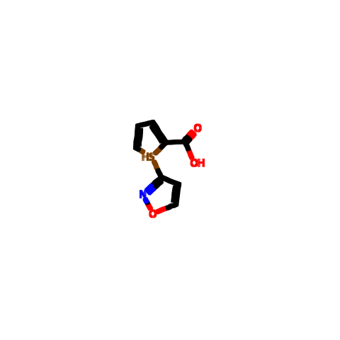 O=C(O)C1=CC=C[SH]1c1ccon1